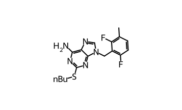 CCCCSc1nc(N)c2ncn(Cc3c(F)ccc(C)c3F)c2n1